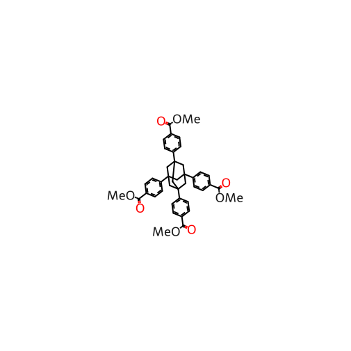 COC(=O)c1ccc(C23CC4(c5ccc(C(=O)OC)cc5)CC(c5ccc(C(=O)OC)cc5)(C2)CC(c2ccc(C(=O)OC)cc2)(C3)C4)cc1